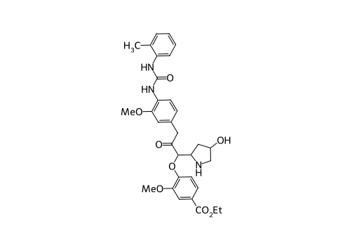 CCOC(=O)c1ccc(OC(C(=O)Cc2ccc(NC(=O)Nc3ccccc3C)c(OC)c2)C2CC(O)CN2)c(OC)c1